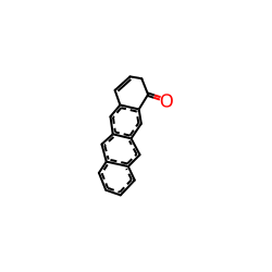 O=C1CC=Cc2cc3cc4ccccc4cc3cc21